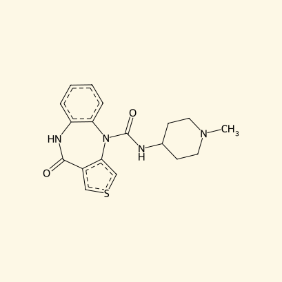 CN1CCC(NC(=O)N2c3ccccc3NC(=O)c3cscc32)CC1